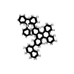 c1ccc(-n2c3ccccc3c3cccc(-c4ccc5c6cc(-c7cccc8ccccc78)ccc6c6c7ccccc7c7ccccc7c6c5c4)c32)cc1